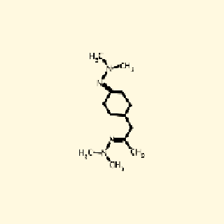 CC(CC1CCC(=NN(C)C)CC1)=NN(C)C